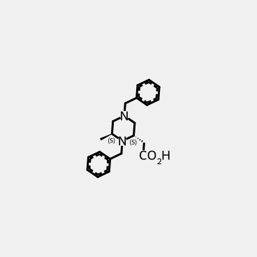 C[C@H]1CN(Cc2ccccc2)C[C@H](CC(=O)O)N1Cc1ccccc1